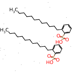 CCCCCCCCCCCCc1ccccc1S(=O)(=O)O.CCCCCCCCCCCCc1ccccc1S(=O)(=O)O